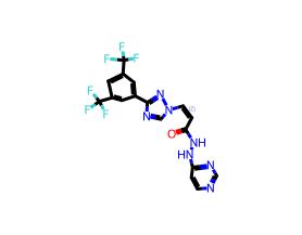 O=C(/C=C\n1cnc(-c2cc(C(F)(F)F)cc(C(F)(F)F)c2)n1)NNc1ccncn1